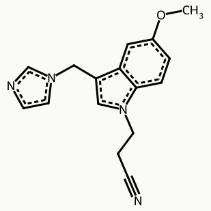 COc1ccc2c(c1)c(Cn1ccnc1)cn2CCC#N